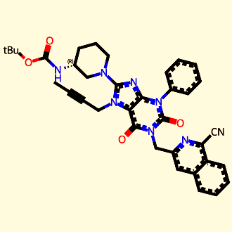 CC#CCn1c(N2CCC[C@@H](NC(=O)OC(C)(C)C)C2)nc2c1c(=O)n(Cc1cc3ccccc3c(C#N)n1)c(=O)n2-c1ccccc1